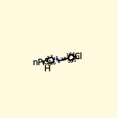 CCC[Si@H]1CC[C@H](/C=C/C#Cc2ccc(Cl)cc2)CC1